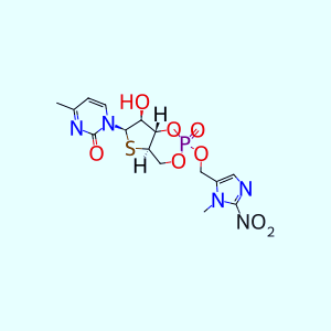 Cc1ccn([C@@H]2S[C@@H]3COP(=O)(OCc4cnc([N+](=O)[O-])n4C)O[C@H]3[C@@H]2O)c(=O)n1